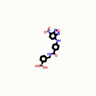 O=C(NCc1cccc(B(O)O)c1)c1ccc(Nc2ccc([N+](=O)[O-])c3nonc23)cc1